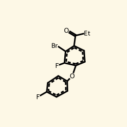 CCC(=O)c1ccc(Oc2ccc(F)cc2)c(F)c1Br